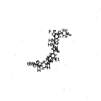 CCc1cc(-c2cc(NC(=O)Nc3ccc(OC4CCN(C)CC4)c(C(F)(F)F)c3)nn2C)cc2cnc(N[C@H]3CC[C@H](NC(=O)OC(C)(C)C)CC3)nc12